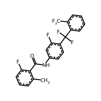 Cc1cccc(F)c1C(=O)Nc1ccc(C(F)(F)c2ccccc2C(F)(F)F)c(F)c1